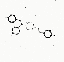 COc1ccc(CCN2CCN(C(Cc3ccc(F)cc3)c3ccc(F)cc3)CC2)cc1OC.Cl.Cl